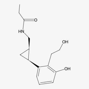 CCC(=O)NC[C@@H]1C[C@@H]1c1cccc(O)c1CCO